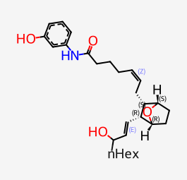 CCCCCCC(O)/C=C/[C@@H]1[C@H](C/C=C\CCCC(=O)Nc2cccc(O)c2)[C@@H]2CC[C@H]1O2